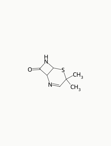 CC1(C)C=NC2C(=O)NC2S1